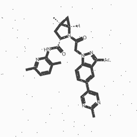 CC(=O)c1nn(CC(=O)N2[C@H](C(=O)Nc3nc(C)ccc3C)C[C@@]3(C)C[C@@H]23)c2ccc(-c3cnc(C)nc3)cc12